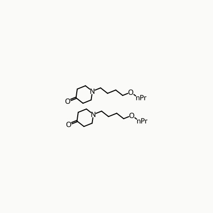 CCCOCCCCN1CCC(=O)CC1.CCCOCCCCN1CCC(=O)CC1